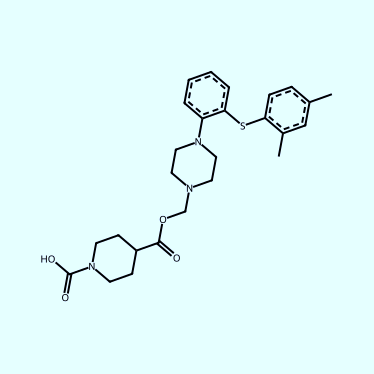 Cc1ccc(Sc2ccccc2N2CCN(COC(=O)C3CCN(C(=O)O)CC3)CC2)c(C)c1